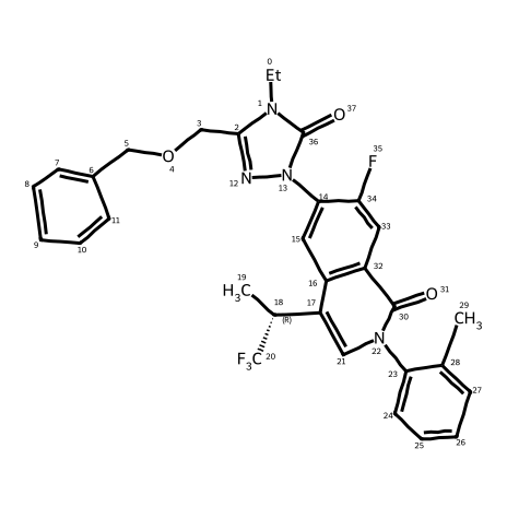 CCn1c(COCc2ccccc2)nn(-c2cc3c([C@@H](C)C(F)(F)F)cn(-c4ccccc4C)c(=O)c3cc2F)c1=O